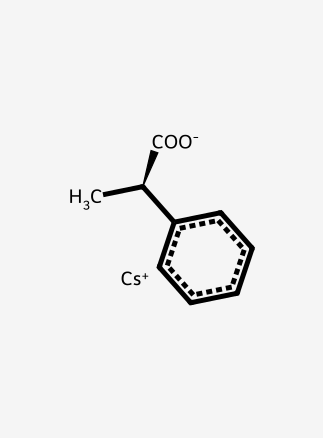 C[C@@H](C(=O)[O-])c1ccccc1.[Cs+]